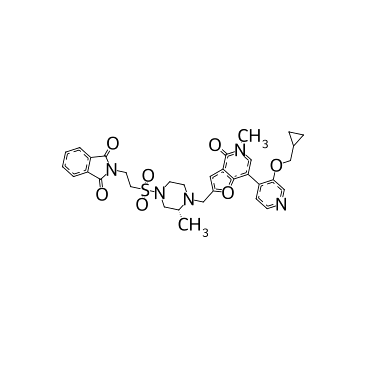 C[C@@H]1CN(S(=O)(=O)CCN2C(=O)c3ccccc3C2=O)CCN1Cc1cc2c(=O)n(C)cc(-c3ccncc3OCC3CC3)c2o1